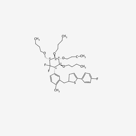 CCCCOC[C@@H]1[C@@H](OCCCC)[C@H](OCCCC)[C@@H](OCCCC)[C@H](c2ccc(C)c(CC3CC=C(c4ccc(F)cc4)S3)c2)C1(F)F